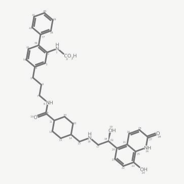 O=C(O)Nc1cc(CCCNC(=O)C2CCC(CNC[C@@H](O)c3ccc(O)c4[nH]c(=O)ccc34)CC2)ccc1-c1ccccc1